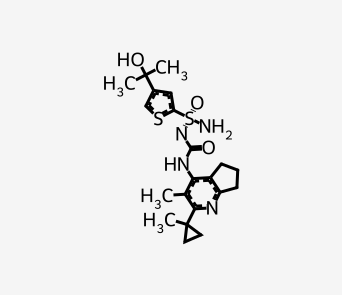 Cc1c(C2(C)CC2)nc2c(c1NC(=O)N=S(N)(=O)c1cc(C(C)(C)O)cs1)CCC2